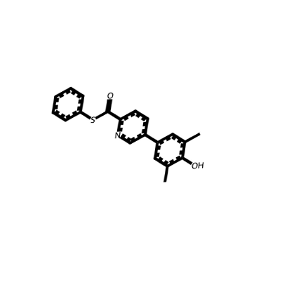 Cc1cc(-c2ccc(C(=O)Sc3ccccc3)nc2)cc(C)c1O